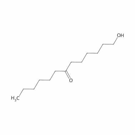 CCCCCCC(=O)CCCCCCO